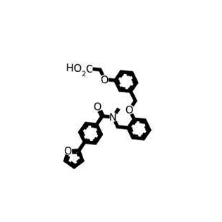 CN(Cc1ccccc1OCc1cccc(OCC(=O)O)c1)C(=O)c1ccc(-c2ccco2)cc1